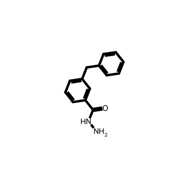 NNC(=O)c1[c]ccc(Cc2ccccc2)c1